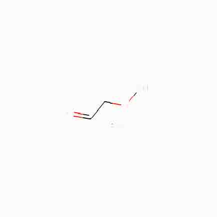 COCC=O.[AlH3]